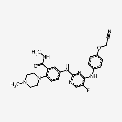 CNC(=O)c1cc(Nc2ncc(F)c(Nc3ccc(OCC#N)cc3)n2)ccc1N1CCN(C)CC1